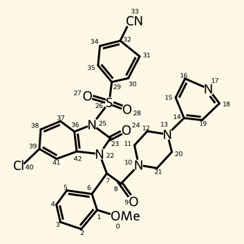 COc1ccccc1C(C(=O)N1CCN(c2ccncc2)CC1)n1c(=O)n(S(=O)(=O)c2ccc(C#N)cc2)c2ccc(Cl)cc21